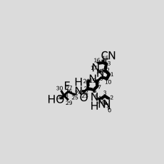 Cn1ccc(Nc2cc(-c3ccc4cc(C#N)cnn34)ncc2C(=O)NC[C@@H](F)C(C)(C)O)n1